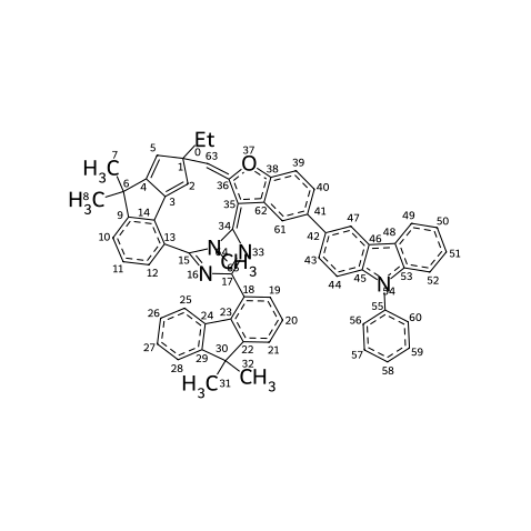 CCC12C=C3C(=C1)C(C)(C)c1cccc(c13)C1=NC(c3cccc4c3-c3ccccc3C4(C)C)=N/C(=c3/c(oc4ccc(-c5ccc6c(c5)c5ccccc5n6-c5ccccc5)cc34)=C\2)N1C